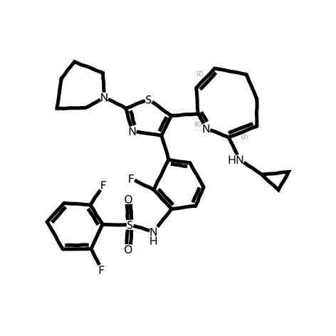 O=S(=O)(Nc1cccc(-c2nc(N3CCCCC3)sc2C2=N/C(NC3CC3)=C\CC/C=C\2)c1F)c1c(F)cccc1F